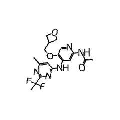 CC(=O)Nc1cc(Nc2cc(C)nc(C(C)(F)F)n2)c(OCC2COC2)cn1